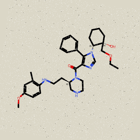 CCOC[C@]1(O)CCCC[C@H]1n1cnc(C(=O)N2CCNC[C@H]2CCNc2ccc(OC)cc2C)c1-c1ccccc1